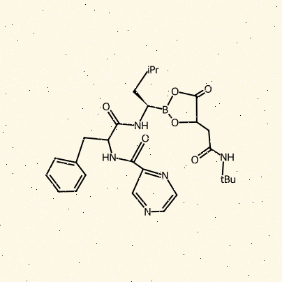 CC(C)C[C@H](NC(=O)C(Cc1ccccc1)NC(=O)c1cnccn1)B1OC(=O)C(CC(=O)NC(C)(C)C)O1